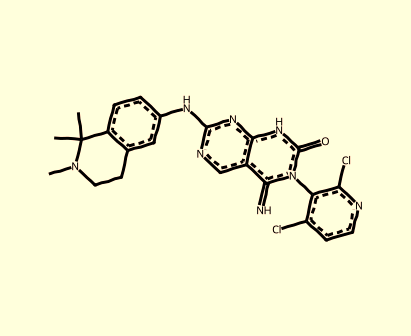 CN1CCc2cc(Nc3ncc4c(=N)n(-c5c(Cl)ccnc5Cl)c(=O)[nH]c4n3)ccc2C1(C)C